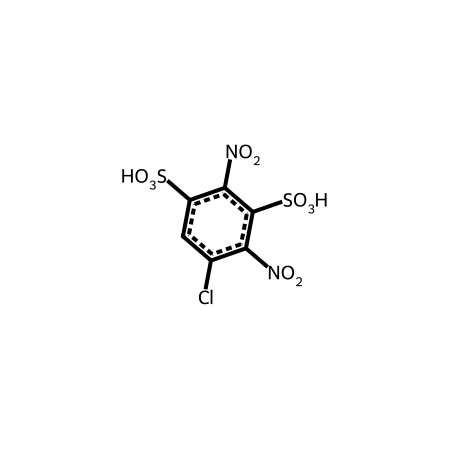 O=[N+]([O-])c1c(Cl)cc(S(=O)(=O)O)c([N+](=O)[O-])c1S(=O)(=O)O